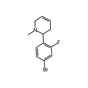 CN1CC=CCC1c1ccc(Br)cc1F